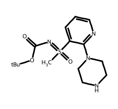 CC(C)(C)OC(=O)N=S(C)(=O)c1cccnc1N1CCNCC1